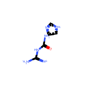 N=C(N)NC(N)=O.c1c[nH]cn1